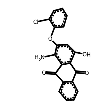 Nc1c(Oc2ccccc2Cl)cc(O)c2c1C(=O)c1ccccc1C2=O